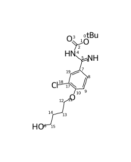 CC(C)(C)OC(=O)NC(=N)c1ccc(OCCCCO)c(Cl)c1